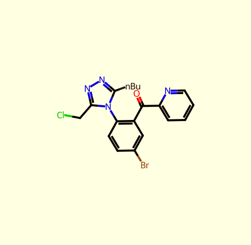 CCCCc1nnc(CCl)n1-c1ccc(Br)cc1C(=O)c1ccccn1